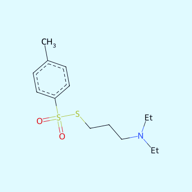 CCN(CC)CCCSS(=O)(=O)c1ccc(C)cc1